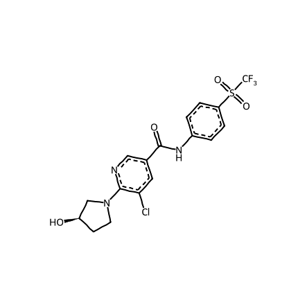 O=C(Nc1ccc(S(=O)(=O)C(F)(F)F)cc1)c1cnc(N2CC[C@@H](O)C2)c(Cl)c1